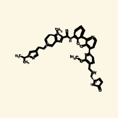 COc1nc(-c2ccnc(-c3cccc(NC(=O)c4nc5c(n4C)CCN(CCc4cnn(C(C)C)c4)C5)c3Cl)c2Cl)ccc1CNC[C@@H]1CCC(=O)N1